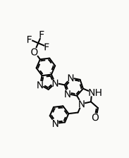 O=CC1Nc2cnc(-n3cnc4cc(OC(F)(F)F)ccc43)nc2N1Cc1cccnc1